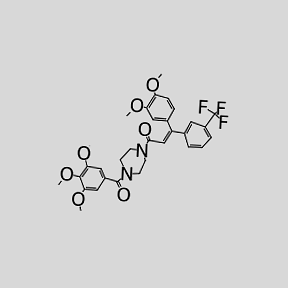 COc1ccc(/C(=C\C(=O)N2CCN(C(=O)c3cc(OC)c(OC)c(OC)c3)CC2)c2cccc(C(F)(F)F)c2)cc1OC